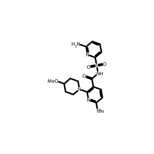 COC1CCN(c2nc(C(C)(C)C)ccc2C(=O)NS(=O)(=O)c2cccc(N)n2)CC1